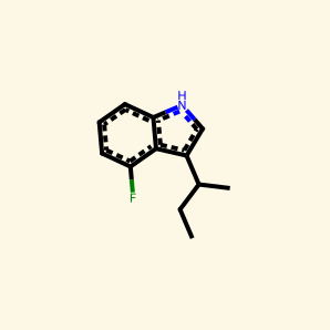 CCC(C)c1c[nH]c2cccc(F)c12